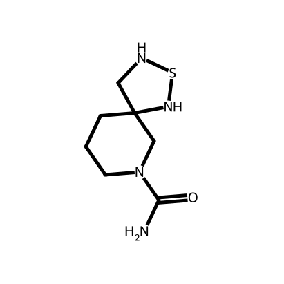 NC(=O)N1CCCC2(CNSN2)C1